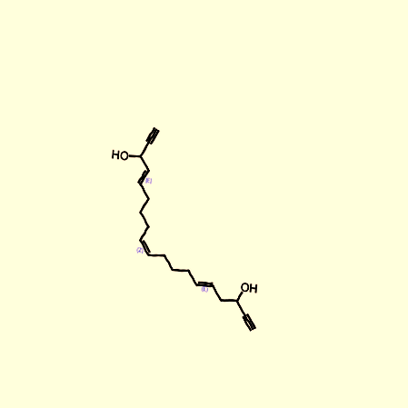 C#CC(O)/C=C/CCC/C=C\CCC/C=C/CC(O)C#C